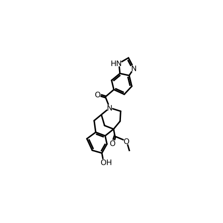 COC(=O)C12CCN(C(=O)c3ccc4nc[nH]c4c3)C(Cc3ccc(O)cc31)C2